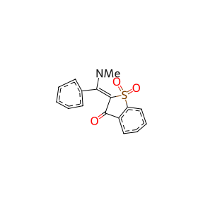 CNC(=C1C(=O)c2ccccc2S1(=O)=O)c1ccccc1